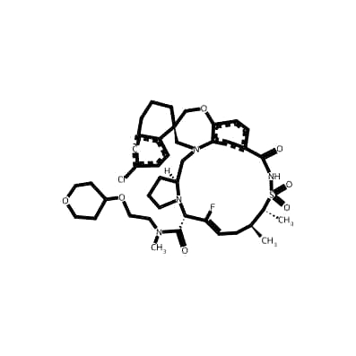 C[C@@H]1[C@@H](C)C/C=C(\F)[C@H](C(=O)N(C)CCOC2CCOCC2)N2CCC[C@H]2CN2C[C@@]3(CCCc4cc(Cl)ccc43)COc3ccc(cc32)C(=O)NS1(=O)=O